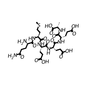 CSCC[C@H](NC(=O)[C@@H](N)CCC(N)=O)C(=O)N[C@@H](CCC(=O)O)C(=O)N[C@@H](CCC(=O)O)C(=O)N[C@@H](CCC(=O)O)C(=O)N[C@@H](C)C(=O)O